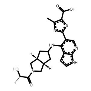 Cc1nc(-c2cnc3[nH]ccc3c2NC2C[C@@H]3CN(C(=O)[C@H](C)O)C[C@@H]3C2)sc1C(=O)O